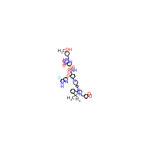 CC(C)c1ccccc1[C@@H]1CN(Cc2ccc3c(c2)OCO3)CCN1C1CC2(CCN(c3ccc(C(=O)NS(=O)(=O)c4cnc(NCC5CCC(C)(O)CC5)c([N+](=O)[O-])c4)c(Oc4cnc5[nH]cc(F)c5c4)c3)CC2)C1